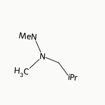 [CH2]NN(C)CC(C)C